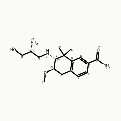 CO[C@@H]1Cc2ccc(C(N)=O)cc2C(C)(C)[C@H]1NC[C@@H](N)CO